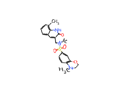 CC(=O)N(Cc1cc2cccc(C)c2[nH]c1=O)S(=O)(=O)c1ccc2c(c1)OCCN2C